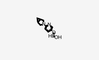 OBOc1ccc(N2CC3CC3C2)nc1